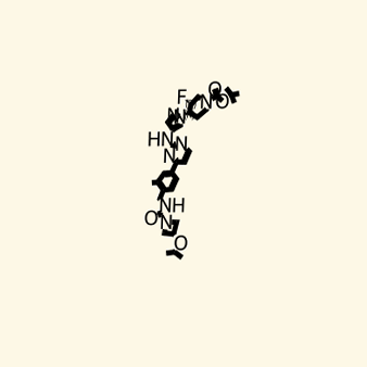 Cc1cc(-c2ccnc(Nc3cnn([C@@H]4CCN(C(=O)OC(C)(C)C)C[C@H]4F)c3)n2)ccc1CNC(=O)N1CC(OC(C)C)C1